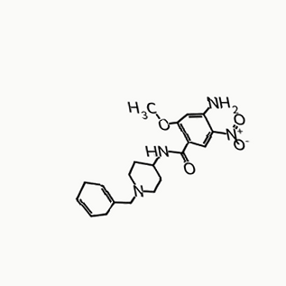 COc1cc(N)c([N+](=O)[O-])cc1C(=O)NC1CCN(CC2=CCC=CC2)CC1